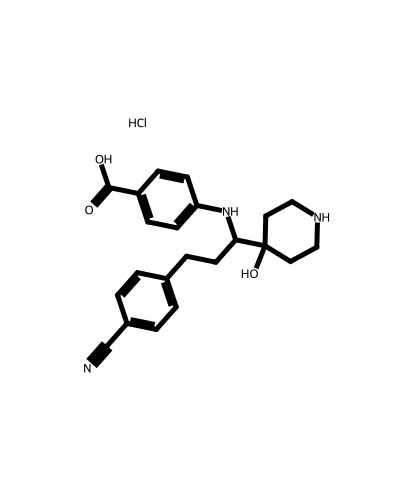 Cl.N#Cc1ccc(CCC(Nc2ccc(C(=O)O)cc2)C2(O)CCNCC2)cc1